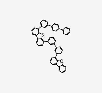 c1ccc(-c2ccc(-c3cccc(-c4cccc5c4sc4c(-c6cccc(-c7cccc(-c8cccc9c8oc8ccccc89)c7)c6)cccc45)c3)cc2)cc1